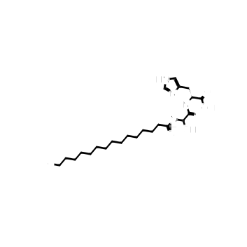 CCCCCCCCCCCCCCCC(=O)NC(C)C(=O)N[C@@H](Cc1c[nH]cn1)C(=O)O